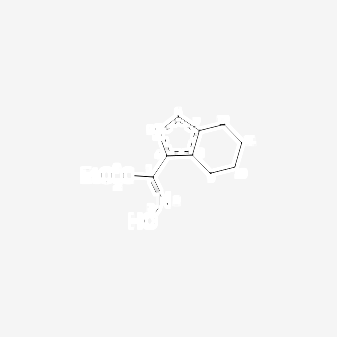 CCOC(=O)C(=NO)c1scc2c1CCCC2